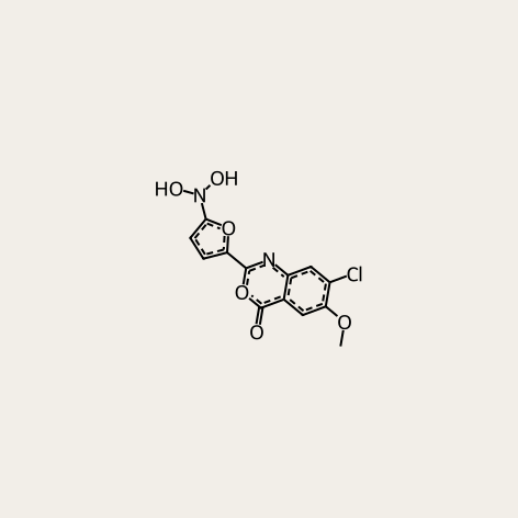 COc1cc2c(=O)oc(-c3ccc(N(O)O)o3)nc2cc1Cl